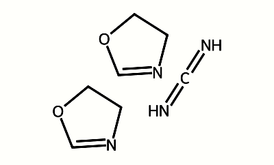 C1=NCCO1.C1=NCCO1.N=C=N